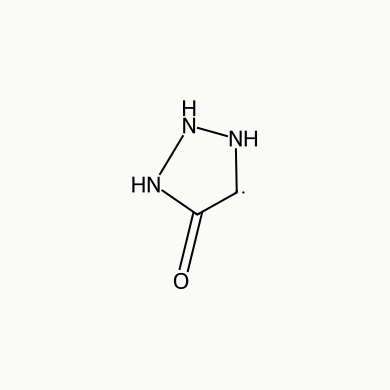 O=C1[CH]NNN1